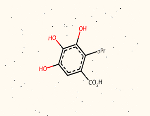 CCCc1c(C(=O)O)cc(O)c(O)c1O